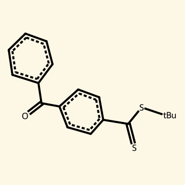 CC(C)(C)SC(=S)c1ccc(C(=O)c2ccccc2)cc1